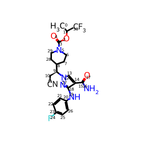 CC(OC(=O)N1CCC([C@H](CC#N)n2cc(C(N)=O)c(Nc3ccc(F)cc3)n2)CC1)C(F)(F)F